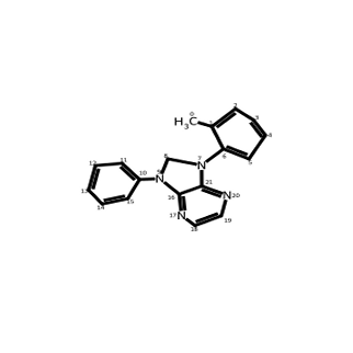 Cc1ccccc1N1CN(c2ccccc2)c2nccnc21